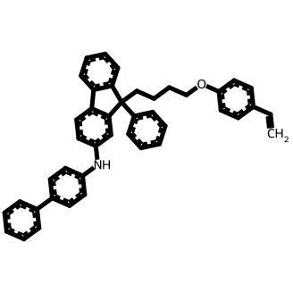 C=Cc1ccc(OCCCCC2(c3ccccc3)c3ccccc3-c3ccc(Nc4ccc(-c5ccccc5)cc4)cc32)cc1